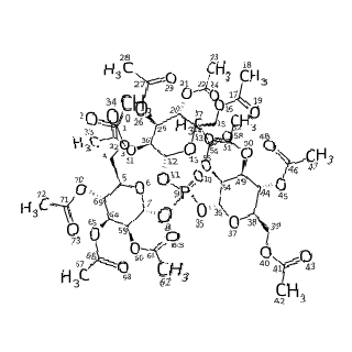 CC(=O)OC[C@H]1O[C@H](OP(=O)(O[C@H]2O[C@H](COC(C)=O)[C@@H](OC(C)=O)[C@H](OC(C)=O)[C@@H]2OC(C)=O)O[C@H]2O[C@H](COC(C)=O)[C@@H](OC(C)=O)[C@H](OC(C)=O)[C@@H]2OC(C)=O)[C@@H](OC(C)=O)[C@@H](OC(C)=O)[C@@H]1OC(C)=O